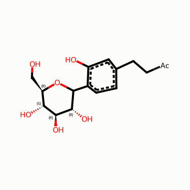 CC(=O)CCc1ccc(C2O[C@H](CO)[C@@H](O)[C@H](O)[C@H]2O)c(O)c1